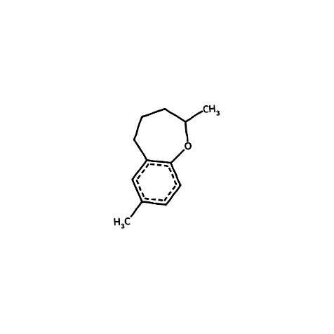 Cc1ccc2c(c1)CCCC(C)O2